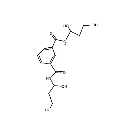 O=C(NC(O)CCO)c1cccc(C(=O)NC(O)CCO)n1